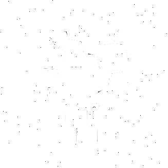 CC(=O)N1CC[C@H]2CC[C@@H](C(=O)N[C@@H]3CCOc4ccccc43)N2C(=O)[C@@H](NC(=O)[C@H](C)N(C)Cc2oc(=O)oc2C)C1